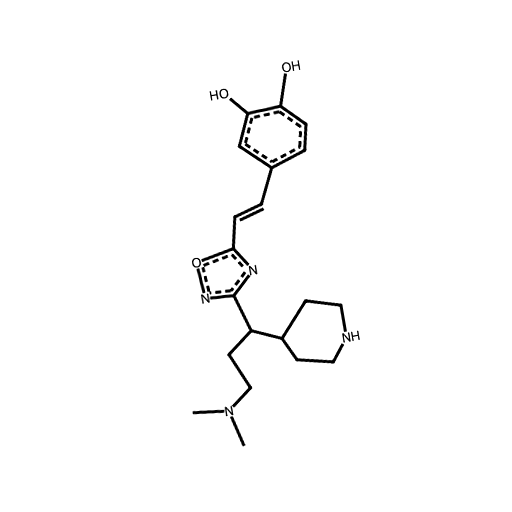 CN(C)CCC(c1noc(C=Cc2ccc(O)c(O)c2)n1)C1CCNCC1